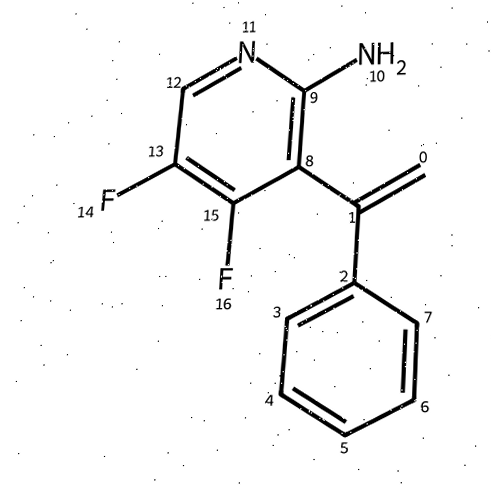 C=C(c1ccccc1)c1c(N)ncc(F)c1F